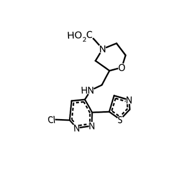 O=C(O)N1CCOC(CNc2cc(Cl)nnc2-c2cncs2)C1